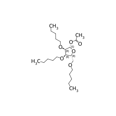 CCCCCOC[C@H]1O[C@@H](OC(C)=O)[C@H](OCCCCC)[C@@H]1OCCCCC